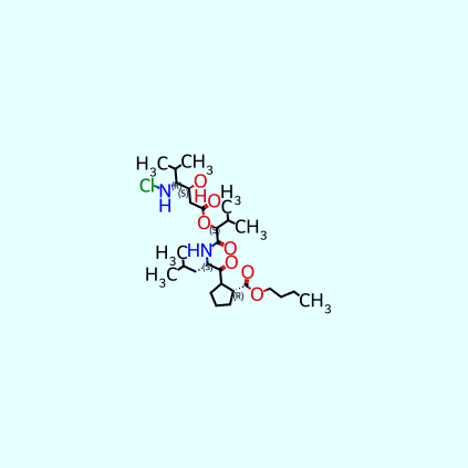 CCCCOC(=O)[C@@H]1CCCC1C(=O)[C@H](CC(C)C)NC(=O)[C@@H](OC(=O)C[C@H](O)[C@H](NCl)C(C)C)C(C)C